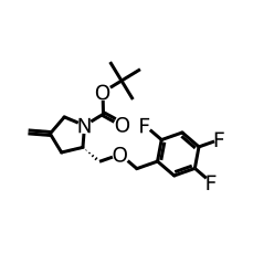 C=C1C[C@@H](COCc2cc(F)c(F)cc2F)N(C(=O)OC(C)(C)C)C1